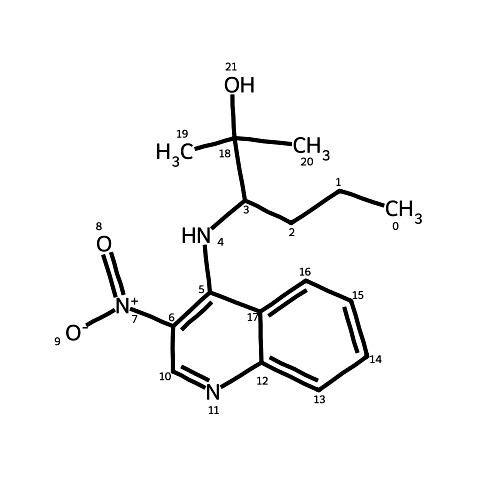 CCCC(Nc1c([N+](=O)[O-])cnc2ccccc12)C(C)(C)O